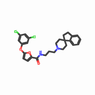 O=C(NCCCN1CCC2(CCc3ccccc32)CC1)c1ccc(Oc2cc(Cl)cc(Cl)c2)o1